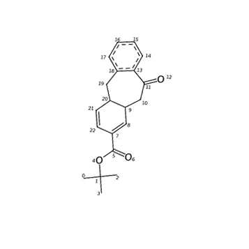 CC(C)(C)OC(=O)C1=CC2CC(=O)c3ccccc3CC2C=C1